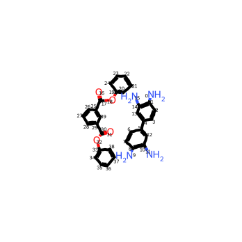 Nc1ccc(-c2ccc(N)c(N)c2)cc1N.O=C(Oc1ccccc1)c1cccc(C(=O)Oc2ccccc2)c1